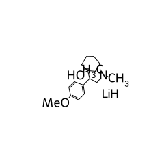 COc1ccc(C(CN(C)C)C2(O)CCCCC2)cc1.[LiH]